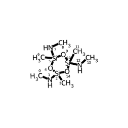 CN[Si]1(C)O[Si](C)(NC)O[Si](C)(NC)O1